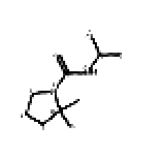 C=C(NC(C)Cl)N1CCCC1(C)C